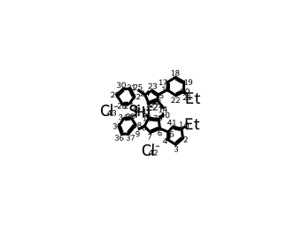 CCc1cccc(C2=CC(C)[C]([Hf+2]([C]3=C(C)C(c4cccc(CC)c4)=CC3C)=[Si](c3ccccc3)c3ccccc3)=C2C)c1.[Cl-].[Cl-]